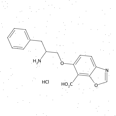 Cl.NC(COc1ccc2ncoc2c1C(=O)O)Cc1ccccc1